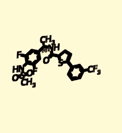 C[C@@H](NC(=O)C1CC=C(c2cccc(C(F)(F)F)c2)S1)c1cc(F)c(NS(C)(=O)=O)c(F)c1